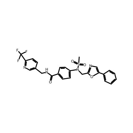 CS(=O)(=O)N(Cc1ncc(-c2ccccc2)o1)c1ccc(C(=O)NCc2ccc(C(F)(F)F)nc2)cc1